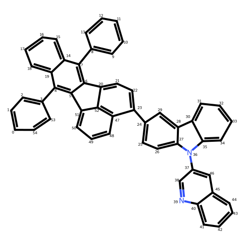 c1ccc(-c2c3c(c(-c4ccccc4)c4ccccc24)-c2ccc(-c4ccc5c(c4)c4ccccc4n5-c4cnc5ccccc5c4)c4cccc-3c24)cc1